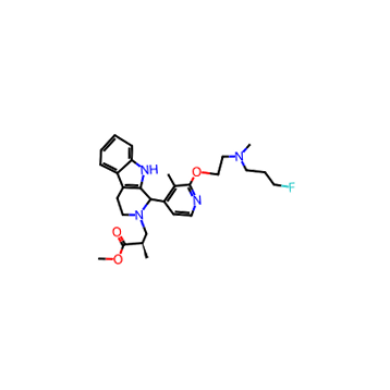 COC(=O)[C@H](C)CN1CCc2c([nH]c3ccccc23)C1c1ccnc(OCCN(C)CCCF)c1C